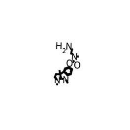 CN(CCN)C(=O)Oc1ccc2c(c1)C1(C)CCN(C)C1N2C